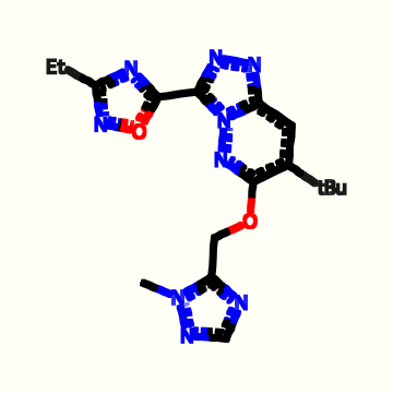 CCc1noc(-c2nnc3cc(C(C)(C)C)c(OCc4ncnn4C)nn23)n1